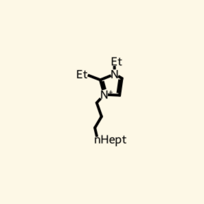 CCCCCCCCCC[n+]1ccn(CC)c1CC